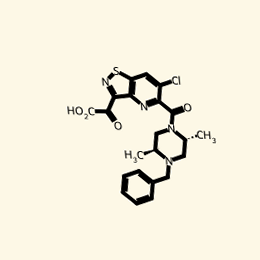 C[C@@H]1CN(Cc2ccccc2)[C@@H](C)CN1C(=O)c1nc2c(C(=O)C(=O)O)nsc2cc1Cl